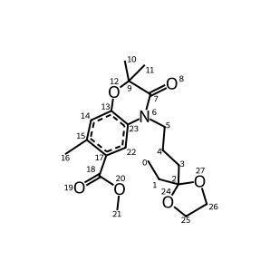 CCC1(CCCN2C(=O)C(C)(C)Oc3cc(C)c(C(=O)OC)cc32)OCCO1